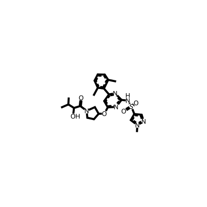 Cc1cccc(C)c1-c1cc(OC2CCN(C(=O)C(O)C(C)C)C2)nc(NS(=O)(=O)c2cnn(C)c2)n1